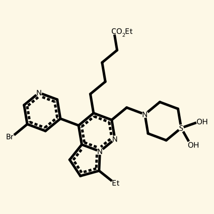 CCOC(=O)CCCCc1c(CN2CCS(O)(O)CC2)nn2c(CC)ccc2c1-c1cncc(Br)c1